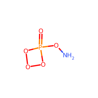 NOP1(=O)OOO1